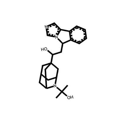 CC(C)(O)N1C2CC3CC1CC(C(O)CC1c4ccccc4-c4cncn41)(C3)C2